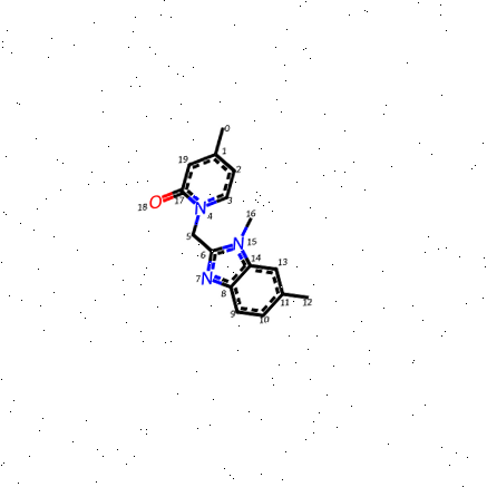 Cc1ccn(Cc2nc3ccc(C)cc3n2C)c(=O)c1